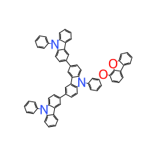 c1ccc(-n2c3ccccc3c3cc(-c4ccc5c(c4)c4cc(-c6ccc7c(c6)c6ccccc6n7-c6ccccc6)ccc4n5-c4cccc(Oc5cccc6c5oc5ccccc56)c4)ccc32)cc1